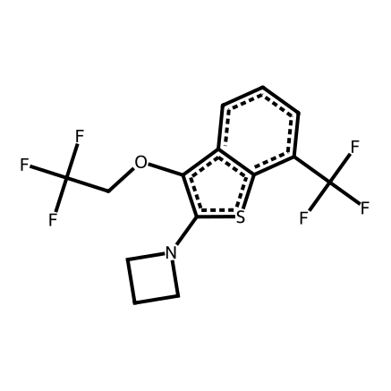 FC(F)(F)COc1c(N2CCC2)sc2c(C(F)(F)F)cccc12